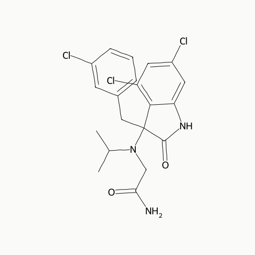 CC(C)N(CC(N)=O)C1(Cc2cccc(Cl)c2)C(=O)Nc2cc(Cl)cc(Cl)c21